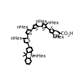 [C-]#[N+]/C(=C\c1sc(-c2sc(-c3sc(-c4sc(-c5sc(-c6ccc7c(c6)C(C)(C)c6ccccc6N7CCCCCC)cc5CCCCCC)cc4CCCCCC)cc3CCCCCC)cc2CCCCCC)cc1CCCCCC)C(=O)O